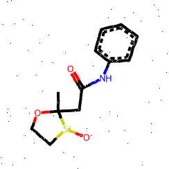 CC1(CC(=O)Nc2ccccc2)OCC[S+]1[O-]